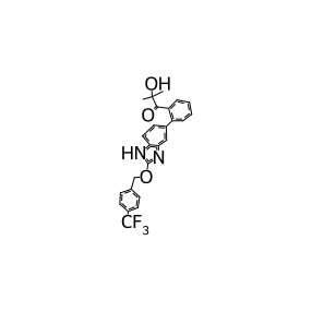 CC(C)(O)C(=O)c1ccccc1-c1ccc2[nH]c(OCc3ccc(C(F)(F)F)cc3)nc2c1